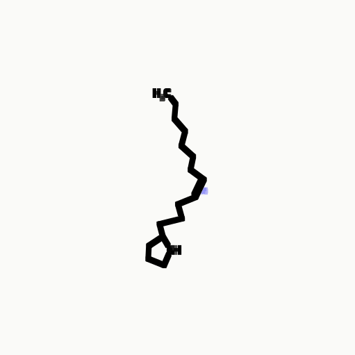 CCCCCCC/C=C\CCCC1CCCN1